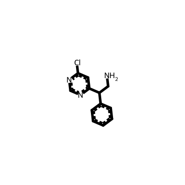 NCC(c1ccccc1)c1cc(Cl)ncn1